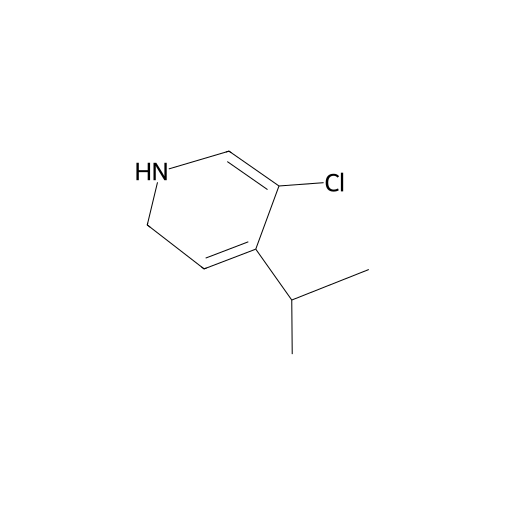 CC(C)C1=CCNC=C1Cl